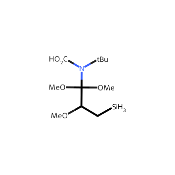 COC(C[SiH3])C(OC)(OC)N(C(=O)O)C(C)(C)C